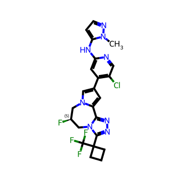 Cn1nccc1Nc1cc(-c2cc3n(c2)C[C@H](F)Cn2c-3nnc2C2(C(F)(F)F)CCC2)c(Cl)cn1